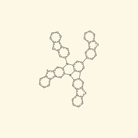 c1ccc2c(c1)sc1cc(N3c4cc5sc6ccccc6c5cc4B4c5cc6c(cc5-c5cc(-c7ccc8sc9ccccc9c8c7)cc3c54)sc3ccccc36)ccc12